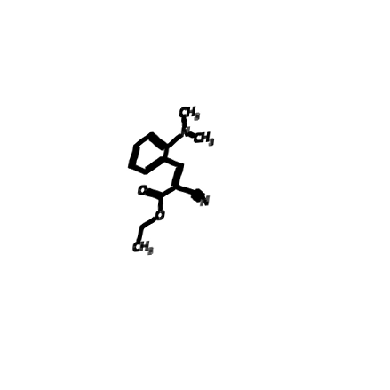 CCOC(=O)C(C#N)=Cc1ccccc1N(C)C